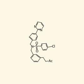 CC(=O)CCc1cccc(CN(Cc2ccc(-c3ncccn3)cc2)S(=O)(=O)c2ccc(Cl)cc2)c1